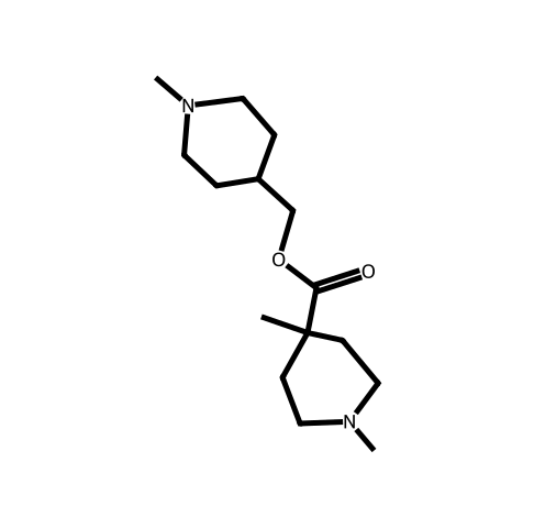 CN1CCC(COC(=O)C2(C)CCN(C)CC2)CC1